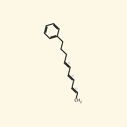 [CH2]/C=C/C=C/C=C/CCCc1ccccc1